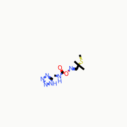 CNC(=O)O/N=C/C(C)(C)SC.c1nnn[nH]1